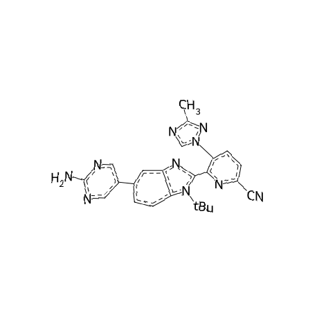 Cc1ncn(-c2ccc(C#N)nc2-c2nc3cc(-c4cnc(N)nc4)ccc3n2C(C)(C)C)n1